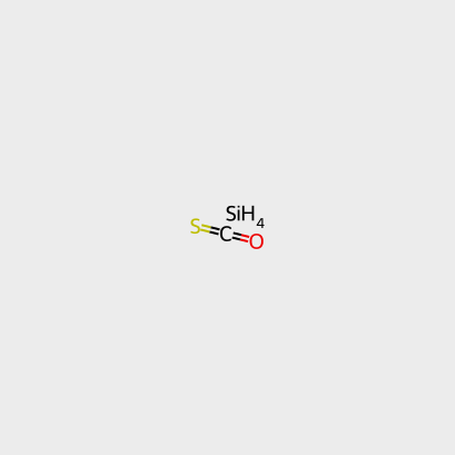 O=C=S.[SiH4]